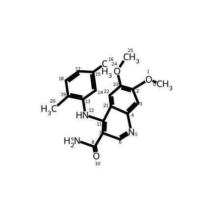 COc1cc2ncc(C(N)=O)c(Nc3cc(C)ccc3C)c2cc1OC